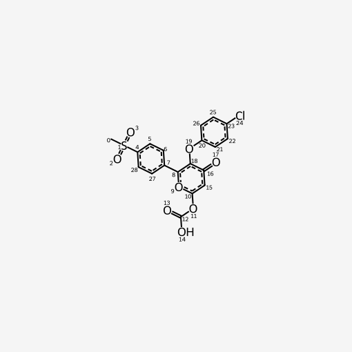 CS(=O)(=O)c1ccc(-c2oc(OC(=O)O)cc(=O)c2Oc2ccc(Cl)cc2)cc1